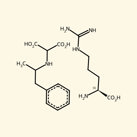 CC(Cc1ccccc1)NC(C(=O)O)C(=O)O.N=C(N)NCCC[C@H](N)C(=O)O